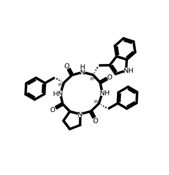 O=C1N[C@H](Cc2ccccc2)C(=O)N[C@H](Cc2c[nH]c3ccccc23)C(=O)N[C@H](Cc2ccccc2)C(=O)N2CCCC12